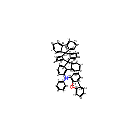 c1ccc(N(c2cccc3c2-c2ccccc2C32c3ccccc3C3(c4ccccc4-c4ccccc43)c3ccccc32)c2cccc3c2oc2ccccc23)cc1